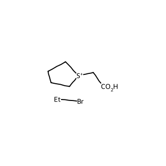 CCBr.O=C(O)C[S+]1CCCC1